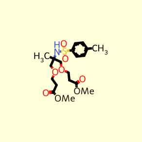 COC(=O)CCOCC(C)(COCCC(=O)OC)NS(=O)(=O)c1ccc(C)cc1